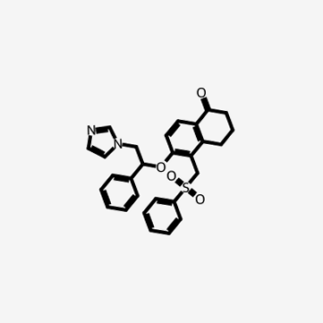 O=C1CCCc2c1ccc(OC(Cn1ccnc1)c1ccccc1)c2CS(=O)(=O)c1ccccc1